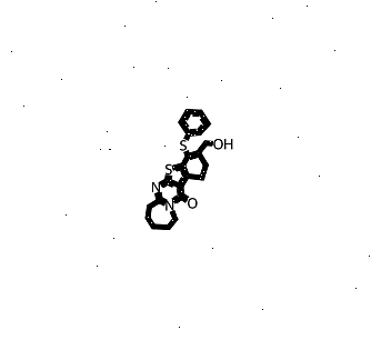 O=c1c2c3c(sc2nc2n1CCCCC2)C(Sc1ccccc1)=C(CO)CC3